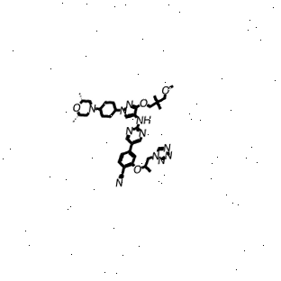 COCC(C)(C)COc1nn(C2CCC(N3C[C@@H](C)O[C@@H](C)C3)CC2)cc1Nc1ncc(-c2ccc(C#N)c(OC(C)Cn3cnnn3)c2)cn1